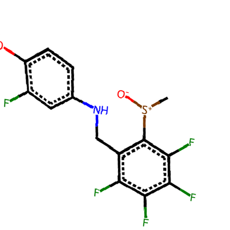 COc1ccc(NCc2c(F)c(F)c(F)c(F)c2[S+](C)[O-])cc1F